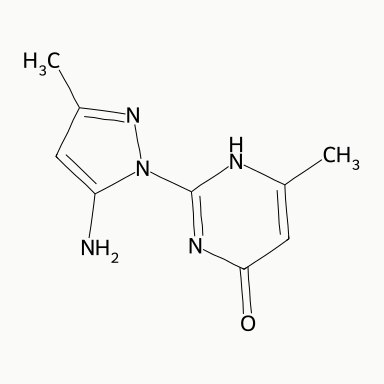 Cc1cc(N)n(-c2nc(=O)cc(C)[nH]2)n1